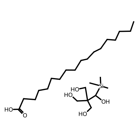 CCCCCCCCCCCCCCCCCC(=O)O.C[Si](C)(C)C(O)C(CO)(CO)CO